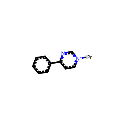 CC(C)[n+]1ccc(-c2ccccc2)nc1